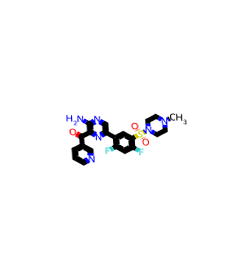 CN1CCN(S(=O)(=O)c2cc(-c3cnc(N)c(C(=O)c4cccnc4)n3)c(F)cc2F)CC1